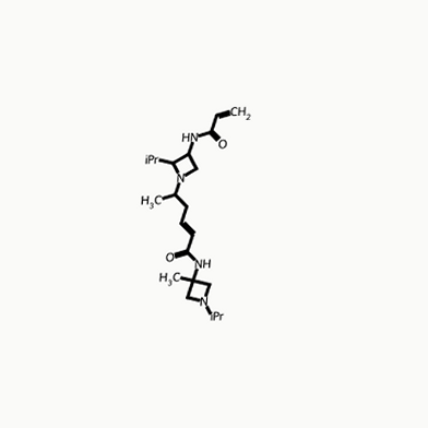 C=CC(=O)NC1CN(C(C)C/C=C/C(=O)NC2(C)CN(C(C)C)C2)C1C(C)C